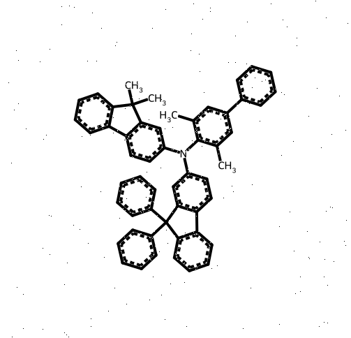 Cc1cc(-c2ccccc2)cc(C)c1N(c1ccc2c(c1)C(C)(C)c1ccccc1-2)c1ccc2c(c1)C(c1ccccc1)(c1ccccc1)c1ccccc1-2